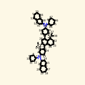 C[Si]1(C)c2cc(N(c3ccccc3)c3ccc4ccccc4c3)ccc2-c2c1cc1c3c(cccc23)[Si](C)(C)c2cc(N(c3ccccc3)c3ccc4ccccc4c3)ccc2-1